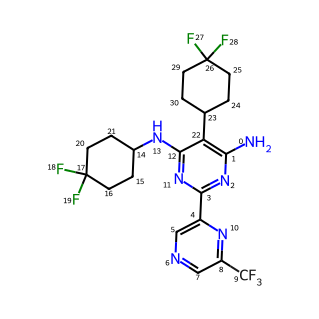 Nc1nc(-c2cncc(C(F)(F)F)n2)nc(NC2CCC(F)(F)CC2)c1C1CCC(F)(F)CC1